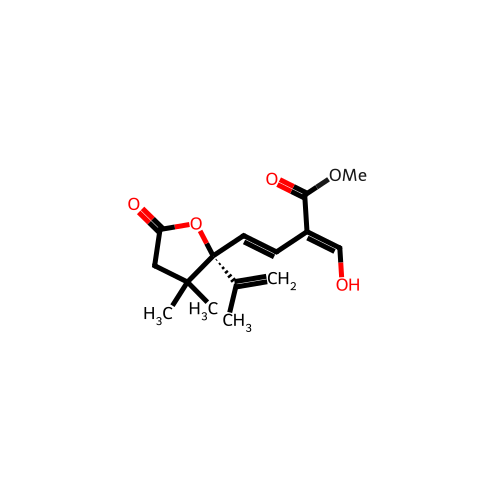 C=C(C)[C@@]1(/C=C/C(=C\O)C(=O)OC)OC(=O)CC1(C)C